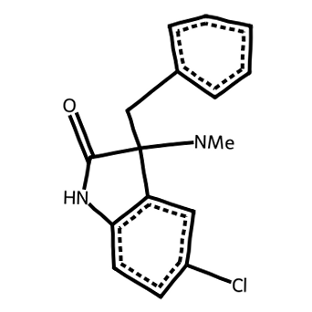 CNC1(Cc2ccccc2)C(=O)Nc2ccc(Cl)cc21